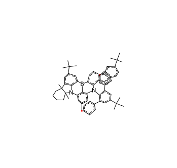 Cc1cc2c3c(c1)N1c4c(cc(C(C)(C)C)cc4C4(C)CCCCC14C)B3c1ccc3c(oc4ccc(C(C)(C)C)cc43)c1N2c1c(-c2ccccc2)cc(C(C)(C)C)cc1-c1ccccc1